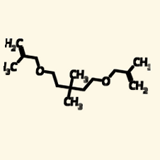 C=C(C)COCCC(C)(C)CCOCC(=C)C